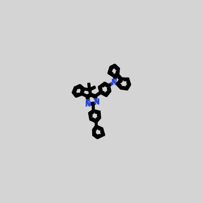 CC1(C)c2ccccc2-c2nc(-c3ccc(-c4ccccc4)cc3)nc(-c3ccc(-n4c5ccccc5c5ccccc54)cc3)c21